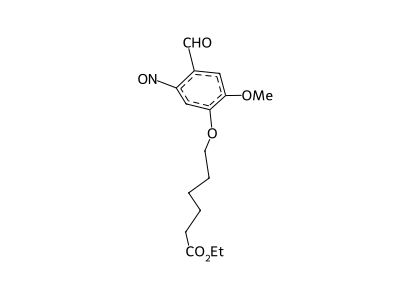 CCOC(=O)CCCCCOc1cc(N=O)c(C=O)cc1OC